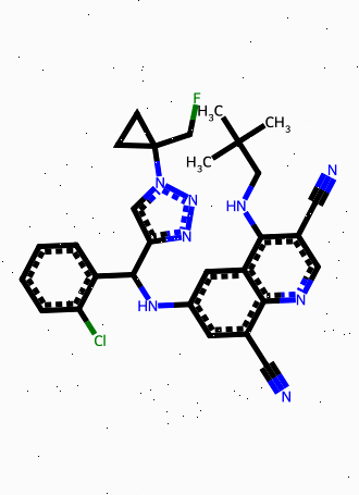 CC(C)(C)CNc1c(C#N)cnc2c(C#N)cc(NC(c3cn(C4(CF)CC4)nn3)c3ccccc3Cl)cc12